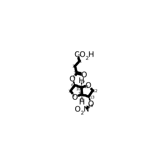 O=C(O)CCC(=O)O[C@@H]1CO[C@H]2[C@@H]1OC[C@H]2O[N+](=O)[O-]